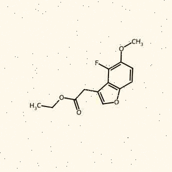 CCOC(=O)Cc1coc2ccc(OC)c(F)c12